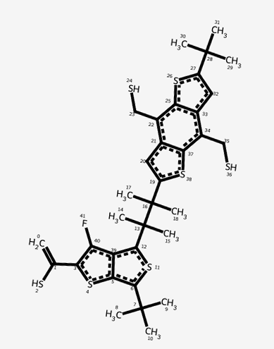 C=C(S)c1sc2c(C(C)(C)C)sc(C(C)(C)C(C)(C)c3cc4c(CS)c5sc(C(C)(C)C)cc5c(CS)c4s3)c2c1F